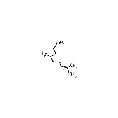 C/C(=C/CCC(C)CCO)C(F)(F)F